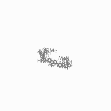 CNCC(=O)N1[C@@H]2CC[C@@H](C2)[C@H]1c1nc2ccc(-c3ccc4c(c3)C(F)(F)c3cc(-c5c[nH]c(CN(CC6(C)CC6)C(=O)CNC(=O)OC)n5)ccc3-4)cc2[nH]1